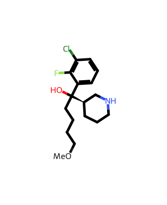 COCCCCC(O)(c1cccc(Cl)c1F)[C@@H]1CCCNC1